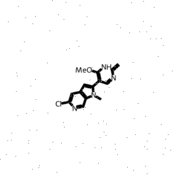 C=C/N=C\C(=C(/N)OC)c1cc2cc(Cl)ncc2n1C